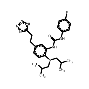 CC(C)CN(CC(C)C)c1ccc(CCc2nnn[nH]2)cc1NC(=O)Nc1ccc(F)cc1